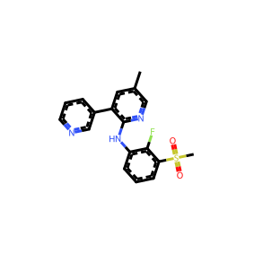 Cc1cnc(Nc2cccc(S(C)(=O)=O)c2F)c(-c2cccnc2)c1